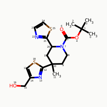 CC(C)(C)OC(=O)N1CCC(C)(c2nc(CO)cs2)CC1c1nccs1